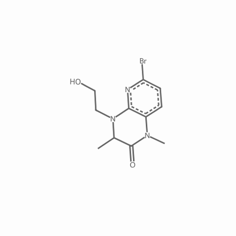 CC1C(=O)N(C)c2ccc(Br)nc2N1CCO